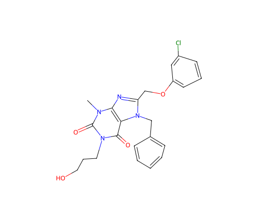 Cn1c(=O)n(CCCO)c(=O)c2c1nc(COc1cccc(Cl)c1)n2Cc1ccccc1